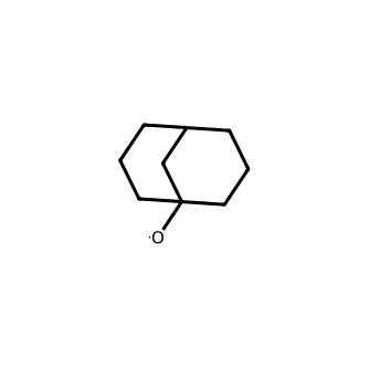 [O]C12CCCC(CCC1)C2